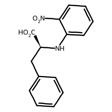 O=C(O)[C@H](Cc1ccccc1)Nc1ccccc1[N+](=O)[O-]